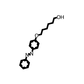 OCCCCCCOc1ccc(N=Nc2ccccc2)cc1